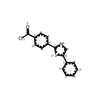 O=C(Cl)c1ccc(-c2ncc(-c3ccccc3)s2)cc1